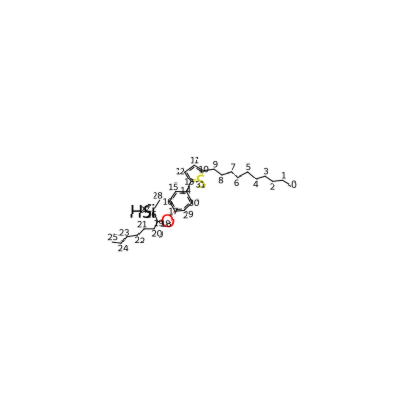 CCCCCCCCCCc1ccc(-c2ccc(OC(CCCCCC)[SiH](C)C)cc2)s1